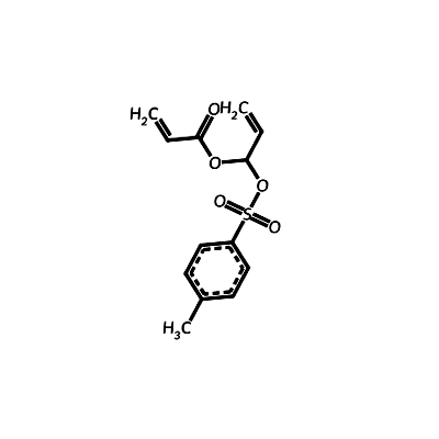 C=CC(=O)OC(C=C)OS(=O)(=O)c1ccc(C)cc1